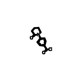 O=C(Cl)c1ccc(N2CCCCC2=O)cc1